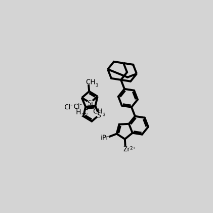 CC(C)C1=Cc2c(-c3ccc(C45CC6CC(CC(C6)C4)C5)cc3)cccc2[CH]1[Zr+2].CC1=C2c3sccc3C1[Si]2(C)C.[Cl-].[Cl-]